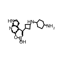 NC1CCC(NC2CC(C3=CB(O)Oc4cnc5[nH]ccc5c43)C2)CC1